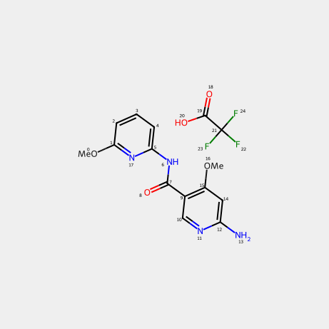 COc1cccc(NC(=O)c2cnc(N)cc2OC)n1.O=C(O)C(F)(F)F